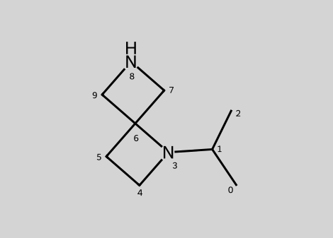 CC(C)N1CCC12CNC2